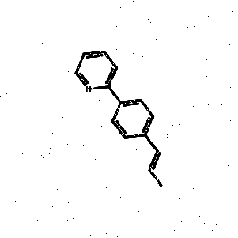 C/C=C/c1ccc(-c2ccccn2)cc1